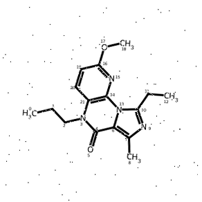 CCCn1c(=O)c2c(C)nc(CC)n2c2nc(OC)ccc21